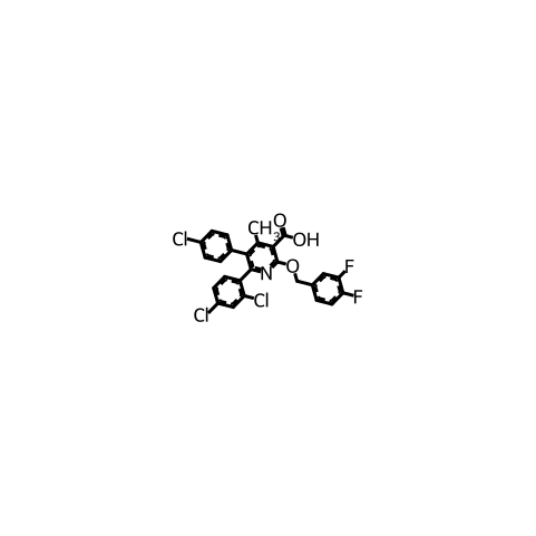 Cc1c(C(=O)O)c(OCc2ccc(F)c(F)c2)nc(-c2ccc(Cl)cc2Cl)c1-c1ccc(Cl)cc1